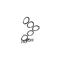 C1CCCCCCCCCCC1.C1CCCCCCCCCCC1.C1CCCCCCCCCCC1.C1CCCCCCCCCCC1.OCC1(CO)CCCCCCCCCCC1